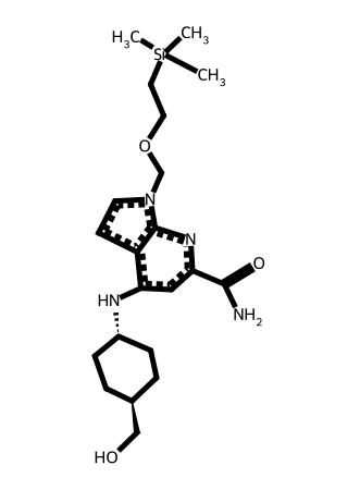 C[Si](C)(C)CCOCn1ccc2c(N[C@H]3CC[C@H](CO)CC3)cc(C(N)=O)nc21